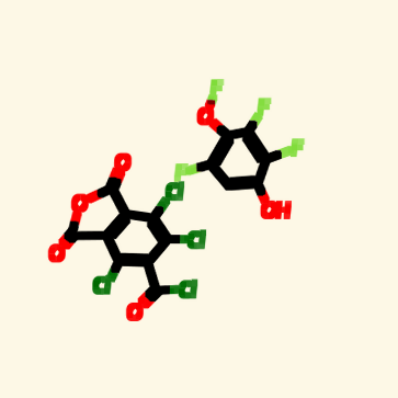 O=C(Cl)c1c(Cl)c(Cl)c2c(c1Cl)C(=O)OC2=O.Oc1cc(F)c(OF)c(F)c1F